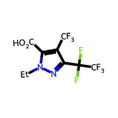 CCn1nc(C(F)(F)C(F)(F)F)c(C(F)(F)F)c1C(=O)O